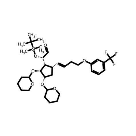 CC(C)(C)[Si](C)(C)O[C@H](C=O)[C@H]1[C@H](OC2CCCCO2)[C@@H](OC2CCCCO2)C[C@H]1/C=C/CCOc1cccc(C(F)(F)F)c1